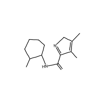 C=C(NC1CCCCC1C)C1=NCC(C)=C1C